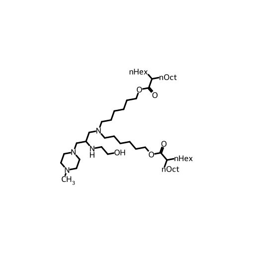 CCCCCCCCC(CCCCCC)C(=O)OCCCCCCN(CCCCCCOC(=O)C(CCCCCC)CCCCCCCC)CC(CN1CCN(C)CC1)NCCO